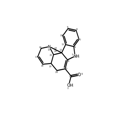 O=C(O)C1=C2Nc3ccccc3C23CCN2CC=CC(C1)C23